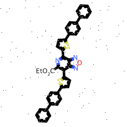 CCOC(=O)c1nc(-c2ccc(-c3ccc(-c4ccccc4)cc3)s2)c2nonc2c1-c1ccc(-c2ccc(-c3ccccc3)cc2)s1